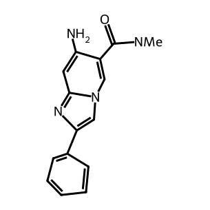 CNC(=O)c1cn2cc(-c3ccccc3)nc2cc1N